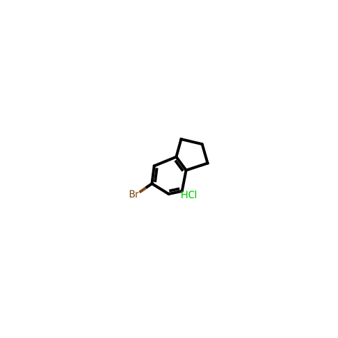 Brc1ccc2c(c1)CCC2.Cl